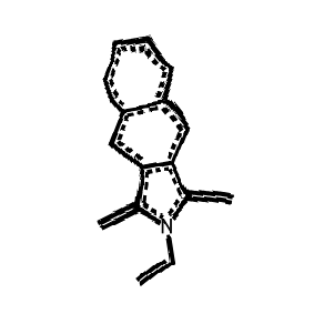 C=Cn1c(=C)c2cc3ccccc3cc2c1=C